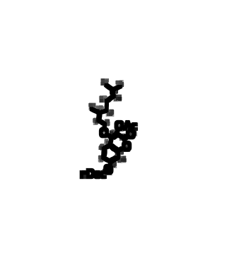 CCCCCCCCCCOc1ccc2c(OCC=C(C)CCC=C(C)C)c(OC(C)=O)c(=O)oc2c1